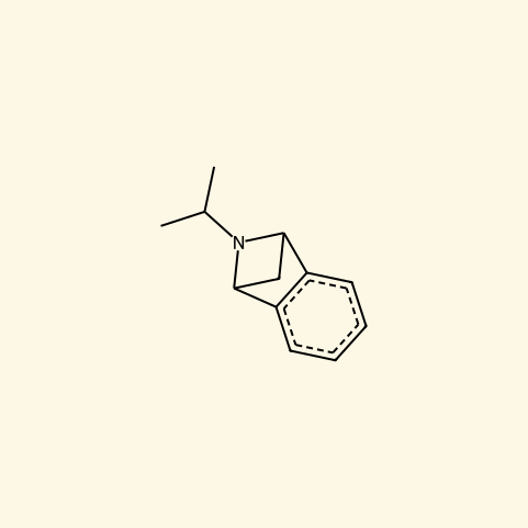 CC(C)N1C2CC1c1ccccc12